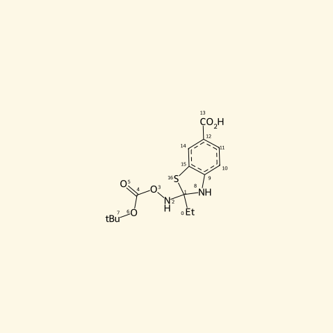 CCC1(NOC(=O)OC(C)(C)C)Nc2ccc(C(=O)O)cc2S1